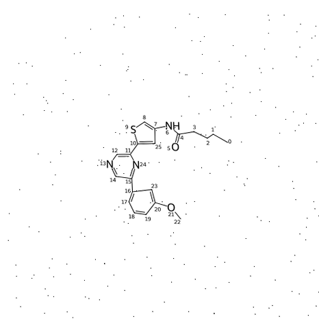 CCCCC(=O)Nc1csc(-c2cncc(-c3cccc(OC)c3)n2)c1